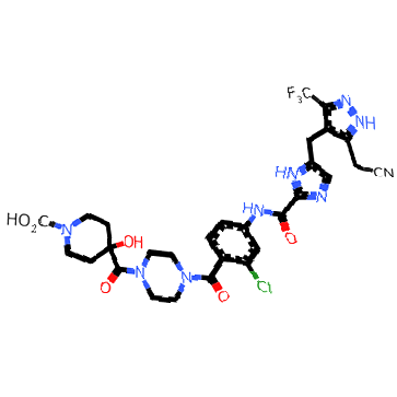 N#CCc1[nH]nc(C(F)(F)F)c1Cc1cnc(C(=O)Nc2ccc(C(=O)N3CCN(C(=O)C4(O)CCN(C(=O)O)CC4)CC3)c(Cl)c2)[nH]1